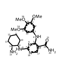 COc1cc(Nc2nc(N[C@@H]3CCCC[C@@H]3N)ncc2C(N)=O)cc(OC)c1OC